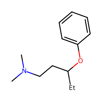 CCC(CCN(C)C)Oc1ccccc1